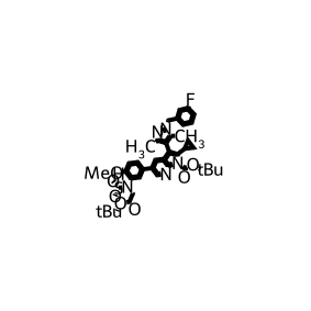 COc1ccc(-c2cnc3c(c2)c(-c2c(C)nn(Cc4cccc(F)c4)c2C)c(C2CC2)n3C(=O)OC(C)(C)C)cc1N(CC(=O)OC(C)(C)C)[SH](=O)=O